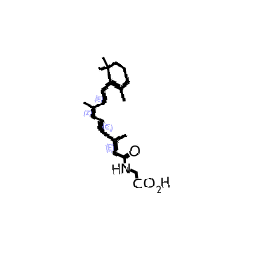 CC1=C(/C=C/C(C)=C\C=C\C(C)=C\C(=O)NCC(=O)O)C(C)(C)CCC1